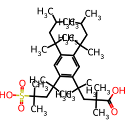 CC(C)CC(C)(C)c1cc(C(C)(C)CC(C)(C)C(=O)O)c(C(C)(C)CC(C)(C)S(=O)(=O)O)cc1C(C)(C)CC(C)C